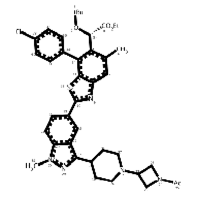 CCOC(=O)[C@@H](OC(C)(C)C)c1c(C)cc2nc(-c3ccc4c(c3)c(C3CCN(C5CN(C(C)=O)C5)CC3)nn4C)sc2c1-c1ccc(Cl)cc1